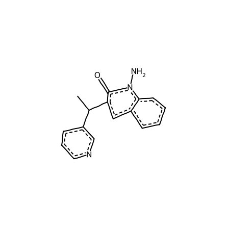 CC(c1cccnc1)c1cc2ccccc2n(N)c1=O